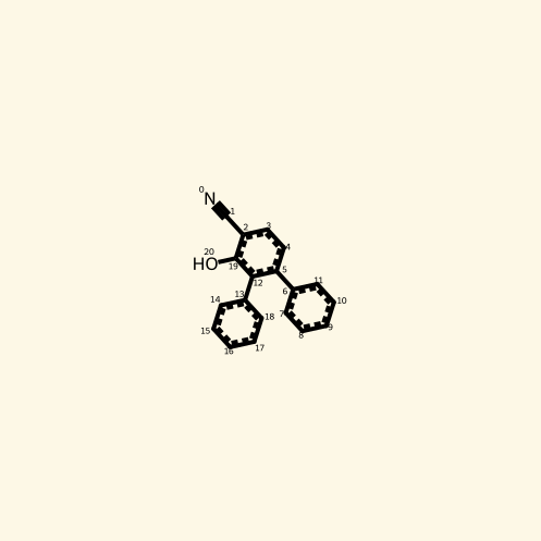 N#Cc1ccc(-c2ccccc2)c(-c2ccccc2)c1O